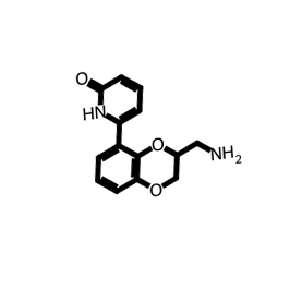 NCC1COc2cccc(-c3cccc(=O)[nH]3)c2O1